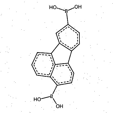 OB(O)c1ccc2c(c1)-c1cccc3c(B(O)O)ccc-2c13